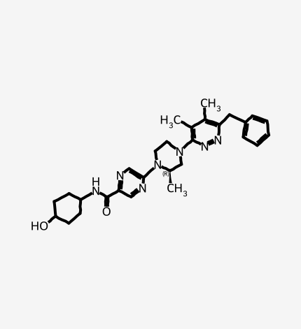 Cc1c(Cc2ccccc2)nnc(N2CCN(c3cnc(C(=O)NC4CCC(O)CC4)cn3)[C@H](C)C2)c1C